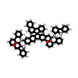 c1ccc(-c2ccccc2N(c2ccc3cc4c(cc3c2)C2(c3cc5cc(N(c6ccccc6-c6ccccc6)c6cccc7c6oc6ccccc67)ccc5cc3-4)c3ccccc3-c3c2ccc2ccccc32)c2cccc3c2oc2ccccc23)cc1